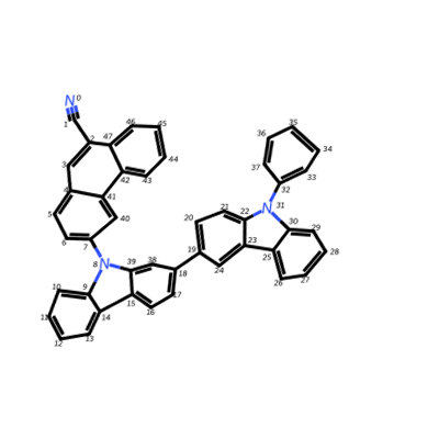 N#Cc1cc2ccc(-n3c4ccccc4c4ccc(-c5ccc6c(c5)c5ccccc5n6-c5ccccc5)cc43)cc2c2ccccc12